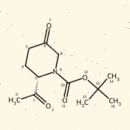 CC(=O)[C@@H]1CCC(=O)CN1C(=O)OC(C)(C)C